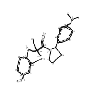 CN(C)c1ccc(C2CCCN2C(=O)C(C)(C)Oc2ccc(Cl)cc2F)cc1